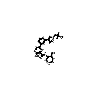 CC(C)(O)Cn1cc(-c2cccc(-c3cnc(N)c(C(=O)NC4CNCCC4O)n3)c2)cn1